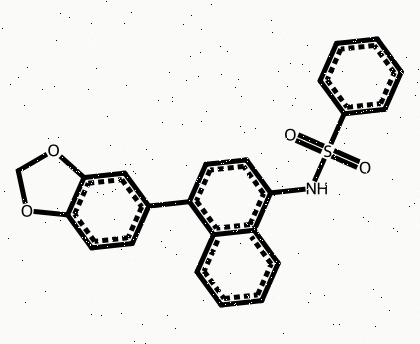 O=S(=O)(Nc1ccc(-c2ccc3c(c2)OCO3)c2ccccc12)c1ccccc1